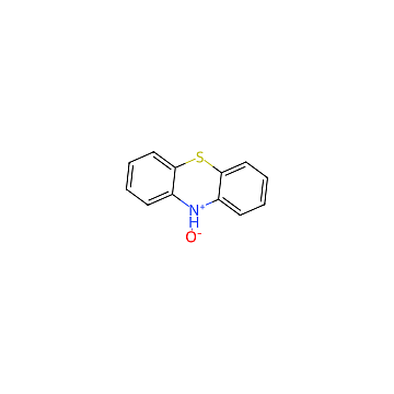 [O-][NH+]1c2ccccc2Sc2ccccc21